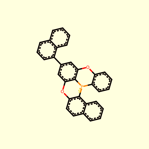 S=P12c3ccccc3Oc3cc(-c4cccc5ccccc45)cc(c31)Oc1ccc3ccccc3c12